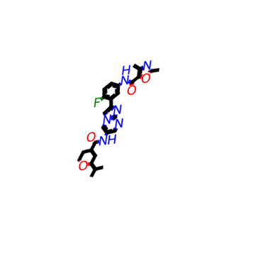 Cc1nc(C)c(C(=O)Nc2ccc(F)c(-c3cn4cc(NC(=O)C5CCOC(C(C)C)C5)cnc4n3)c2)o1